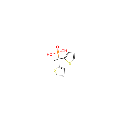 CC(c1cccs1)(c1cccs1)P(=O)(O)O